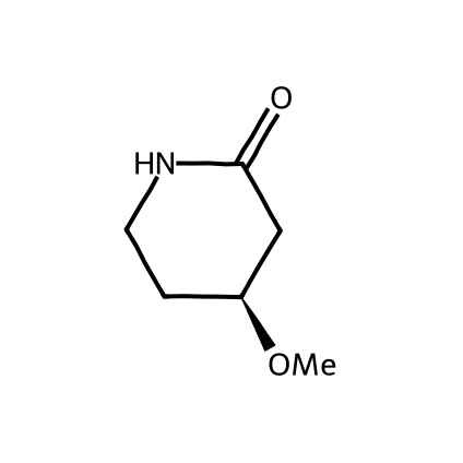 CO[C@H]1CCNC(=O)C1